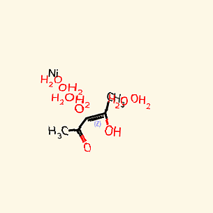 CC(=O)/C=C(/C)O.O.O.O.O.O.O.[Ni]